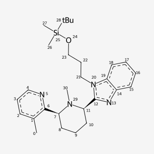 Cc1cccnc1[C@@H]1CCC[C@H](c2nc3ccccc3n2CCCO[Si](C)(C)C(C)(C)C)N1C